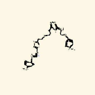 Cc1ccc(O/C=N\c2nnc(CCSCCc3nnc(NCOc4ccc(C)cc4)s3)s2)cc1